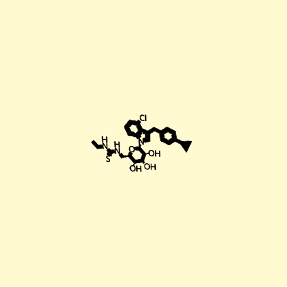 CCNC(=S)NC[C@H]1O[C@@H](n2cc(Cc3ccc(C4CC4)cc3)c3c(Cl)cccc32)[C@H](O)[C@@H](O)[C@@H]1O